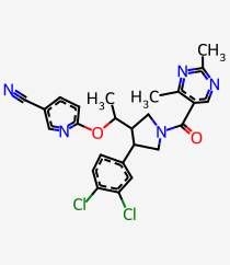 Cc1ncc(C(=O)N2CC(c3ccc(Cl)c(Cl)c3)C(C(C)Oc3ccc(C#N)cn3)C2)c(C)n1